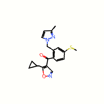 CSc1ccc(C(=O)c2cnoc2C2CC2)c(Cn2ccc(C)n2)c1